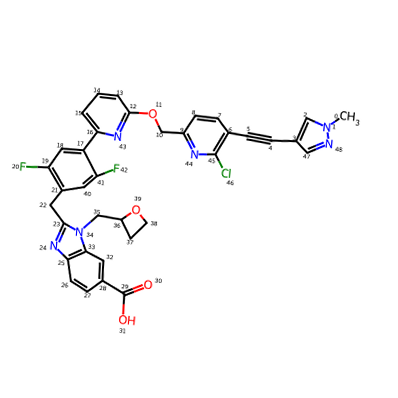 Cn1cc(C#Cc2ccc(COc3cccc(-c4cc(F)c(Cc5nc6ccc(C(=O)O)cc6n5CC5CCO5)cc4F)n3)nc2Cl)cn1